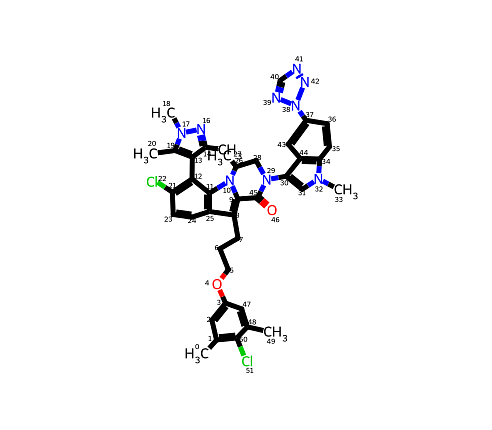 Cc1cc(OCCCc2c3n(c4c(-c5c(C)nn(C)c5C)c(Cl)ccc24)C(C)CN(c2cn(C)c4ccc(-n5ncnn5)cc24)C3=O)cc(C)c1Cl